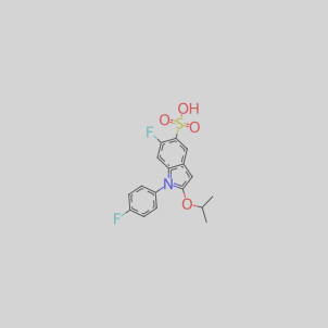 CC(C)Oc1cc2cc(S(=O)(=O)O)c(F)cc2n1-c1ccc(F)cc1